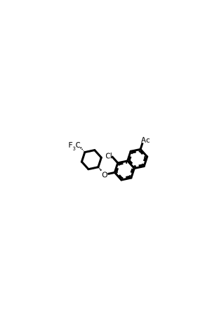 CC(=O)c1ccc2ccc(O[C@H]3CC[C@@H](C(F)(F)F)CC3)c(Cl)c2c1